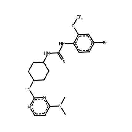 CN(C)c1ccnc(NC2CCC(NC(=S)Nc3ccc(Br)cc3OC(F)(F)F)CC2)n1